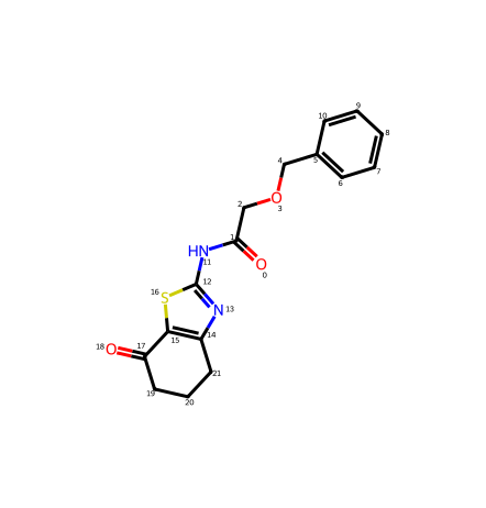 O=C(COCc1ccccc1)Nc1nc2c(s1)C(=O)CCC2